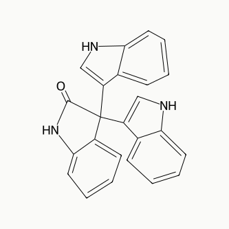 O=C1Nc2ccccc2C1(c1c[nH]c2ccccc12)c1c[nH]c2ccccc12